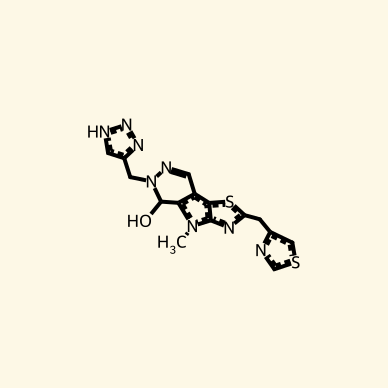 Cn1c2c(c3sc(Cc4cscn4)nc31)C=NN(Cc1c[nH]nn1)C2O